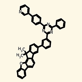 CC1(C)c2ccc(-c3cccc(-c4nc(-c5ccccc5)nc(-c5ccc(-c6cccnc6)cc5)n4)c3)cc2-c2ccc3c(oc4ccccc43)c21